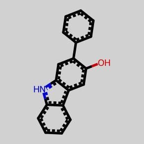 Oc1cc2c(cc1-c1ccccc1)[nH]c1ccccc12